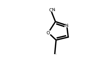 [CH2]c1cnc(C#N)o1